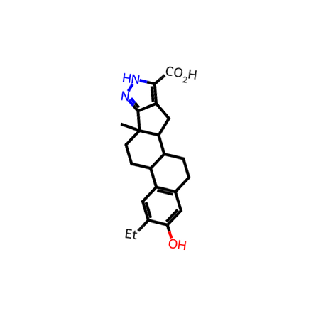 CCc1cc2c(cc1O)CCC1C2CCC2(C)c3n[nH]c(C(=O)O)c3CC12